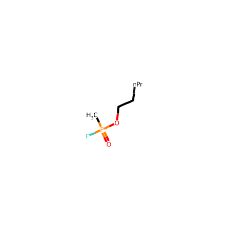 CCCCCOP(C)(=O)F